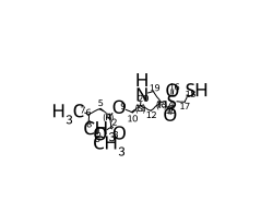 COC(=O)[C@@H](CC(C)C)OC[C@@H]1C[C@@H](S(=O)(=O)CS)CN1